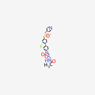 CC(=O)NCC1CN(c2ccc(-c3ccc(C[S+]([O-])Cc4ccncc4)cc3)c(F)c2)C(=O)O1